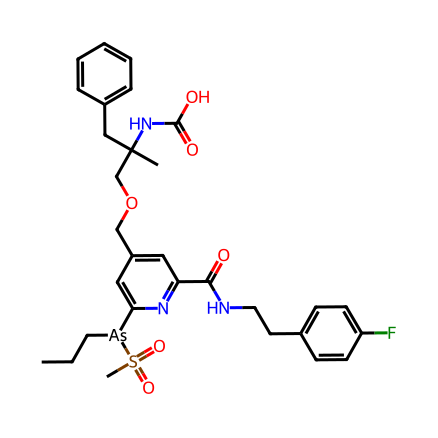 CCC[As](c1cc(COCC(C)(Cc2ccccc2)NC(=O)O)cc(C(=O)NCCc2ccc(F)cc2)n1)S(C)(=O)=O